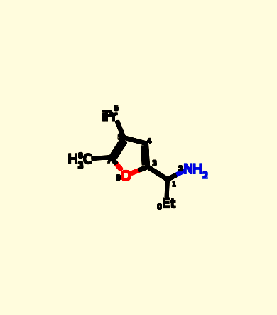 CCC(N)c1cc(C(C)C)c(C)o1